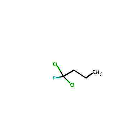 [CH2]CCC(F)(Cl)Cl